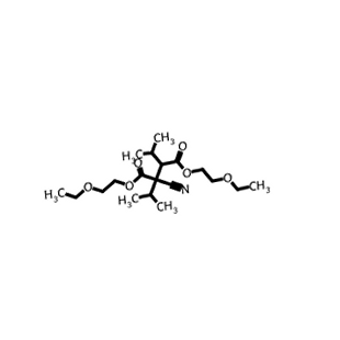 CCOCCOC(=O)C(C(C)C)C(C#N)(C(=O)OCCOCC)C(C)C